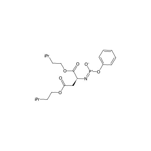 CC(C)CCOC(=O)C[C@H](N=[P+]([O-])Oc1ccccc1)C(=O)OCCC(C)C